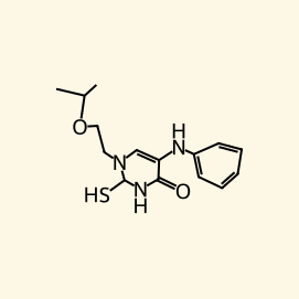 CC(C)OCCN1C=C(Nc2ccccc2)C(=O)NC1S